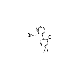 COc1ccc(-c2cccnc2CBr)c(Cl)c1